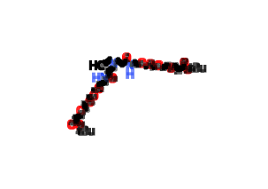 C#CCN(CCC(=O)NCCOCOCOCCOCCC(=O)OC(C)(C)C)CCC(=O)NCCOCOCOCCOCCC(=O)OC(C)(C)C